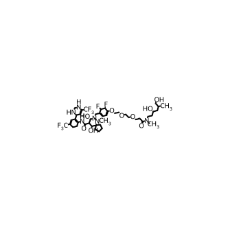 CC(CO)C[C@H](O)CCN(C)C(=O)CCOCCOCCOC1=CC=C(CN2C(O)C(C(=O)NC3=C(C4C=C(C(F)(F)F)NCN4)C=C(C(F)(F)F)CC3)C(O)C3(CCCC3)N2C)C(F)[C@H]1F